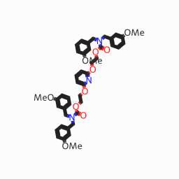 COc1cccc(CN(Cc2cccc(OC)c2)C(=O)OCCOc2cccc(OCCOC(=O)N(Cc3cccc(OC)c3)Cc3cccc(OC)c3)n2)c1